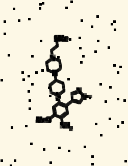 COc1cc(N2CCC(N3CCN(CCSC)CC3)CC2)c(-c2cnn(C)c2)cc1N